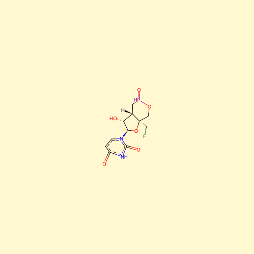 O=c1ccn([C@@H]2O[C@]3(CF)CO[PH](=O)C[C@H]3[C@H]2O)c(=O)[nH]1